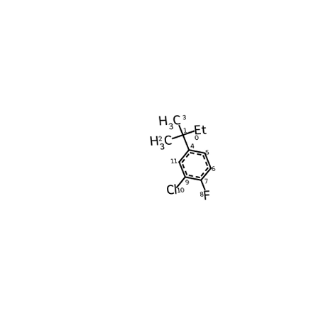 CCC(C)(C)c1ccc(F)c(Cl)c1